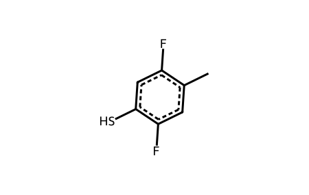 Cc1cc(F)c(S)cc1F